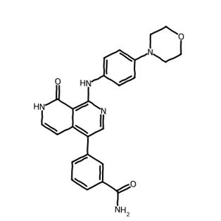 NC(=O)c1cccc(-c2cnc(Nc3ccc(N4CCOCC4)cc3)c3c(=O)[nH]ccc23)c1